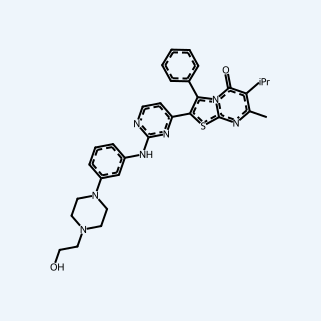 Cc1nc2sc(-c3ccnc(Nc4cccc(N5CCN(CCO)CC5)c4)n3)c(-c3ccccc3)n2c(=O)c1C(C)C